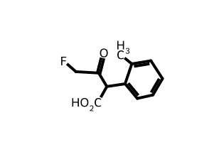 Cc1ccccc1C(C(=O)O)C(=O)CF